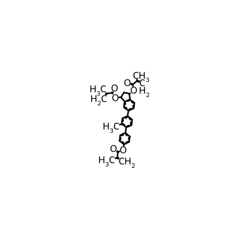 C=C(C)C(=O)Oc1ccc(-c2ccc(-c3ccc4c(c3)C(OC(=O)C(=C)C)CC4OC(=O)C(=C)C)cc2C)cc1